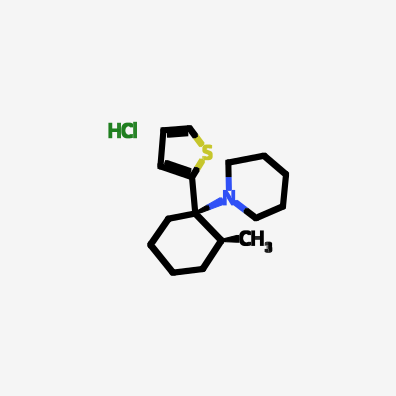 C[C@H]1CCCC[C@@]1(c1cccs1)N1CCCCC1.Cl